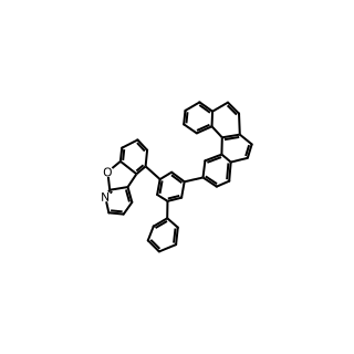 c1ccc(-c2cc(-c3ccc4ccc5ccc6ccccc6c5c4c3)cc(-c3cccc4oc5ncccc5c34)c2)cc1